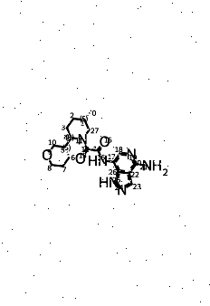 C[C@H]1CC[C@H]([C@@H]2CCCOC2)N(C(=O)C(=O)Nc2cnc(N)c3cn[nH]c23)C1